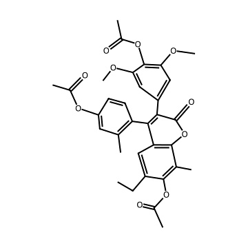 CCc1cc2c(-c3ccc(OC(C)=O)cc3C)c(-c3cc(OC)c(OC(C)=O)c(OC)c3)c(=O)oc2c(C)c1OC(C)=O